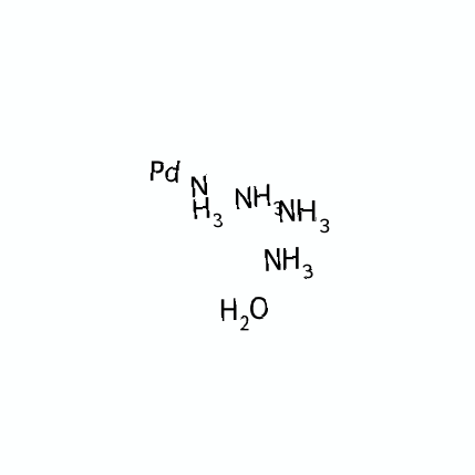 N.N.N.N.O.[Pd]